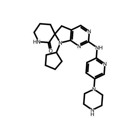 O=C1NCCCC12Cc1cnc(Nc3ccc(N4CCNCC4)cn3)nc1N2C1CCCC1